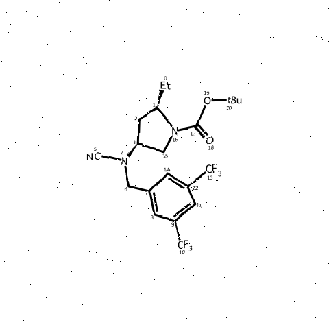 CC[C@@H]1C[C@H](N(C#N)Cc2cc(C(F)(F)F)cc(C(F)(F)F)c2)CN1C(=O)OC(C)(C)C